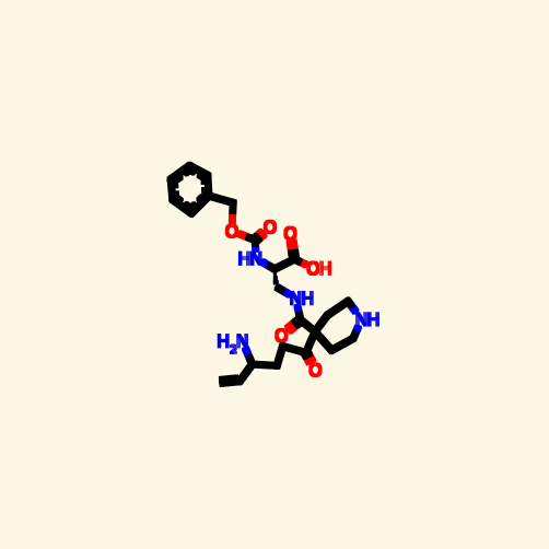 C=CC(N)CCC(=O)C1(C(=O)NC[C@H](NC(=O)OCc2ccccc2)C(=O)O)CCNCC1